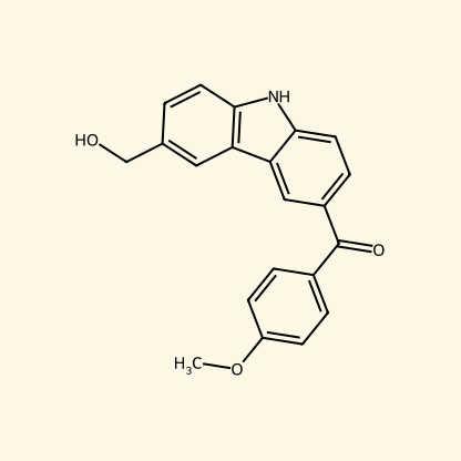 COc1ccc(C(=O)c2ccc3[nH]c4ccc(CO)cc4c3c2)cc1